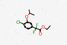 CCOC(=O)C(F)(F)c1ccc(Cl)c(OC(C)C)c1